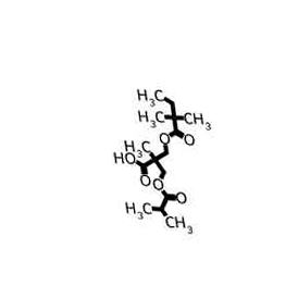 CCC(C)(C)C(=O)OCC(C)(COC(=O)C(C)C)C(=O)O